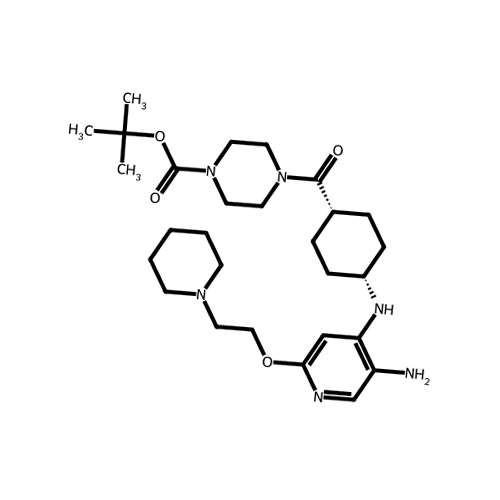 CC(C)(C)OC(=O)N1CCN(C(=O)[C@H]2CC[C@@H](Nc3cc(OCCN4CCCCC4)ncc3N)CC2)CC1